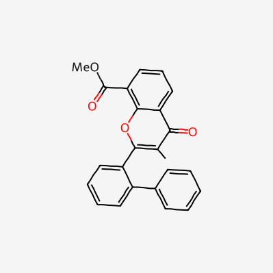 COC(=O)c1cccc2c(=O)c(C)c(-c3ccccc3-c3ccccc3)oc12